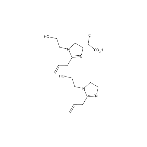 C=CCC1=NCCN1CCO.C=CCC1=NCCN1CCO.O=C(O)CCl